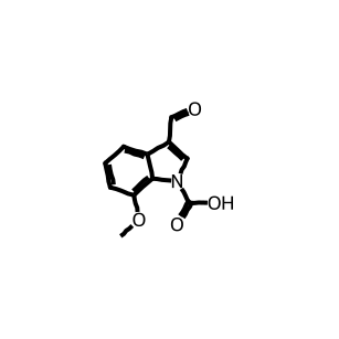 COc1cccc2c(C=O)cn(C(=O)O)c12